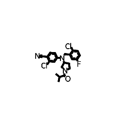 CC(C)C(=O)N1CCC(N(Cc2cc(F)ccc2Cl)c2ccc(C#N)c(Cl)c2)C1